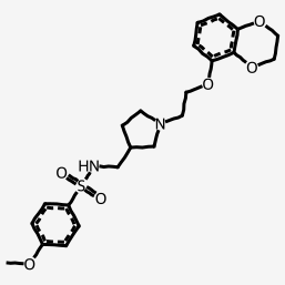 COc1ccc(S(=O)(=O)NCC2CCN(CCOc3cccc4c3OCCO4)C2)cc1